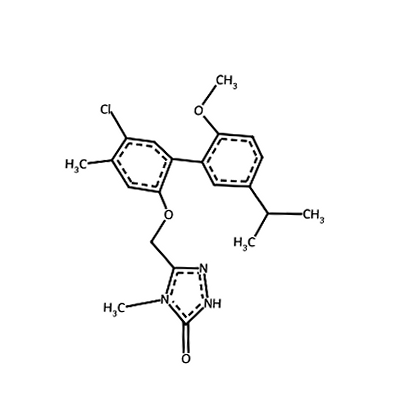 COc1ccc(C(C)C)cc1-c1cc(Cl)c(C)cc1OCc1n[nH]c(=O)n1C